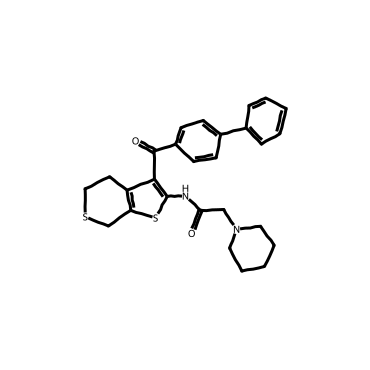 O=C(CN1CCCCC1)Nc1sc2c(c1C(=O)c1ccc(-c3ccccc3)cc1)CCSC2